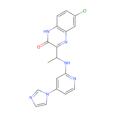 CC(Nc1cc(-n2ccnc2)ccn1)c1nc2cc(Cl)ccc2[nH]c1=O